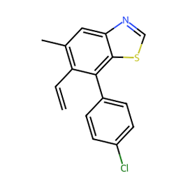 C=Cc1c(C)cc2ncsc2c1-c1ccc(Cl)cc1